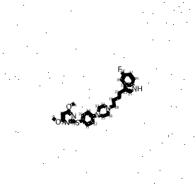 COc1cc(OC)nc(Sc2ccc(N3CCN(CCCCc4c[nH]c5ccc(F)cc45)CC3)cc2)n1